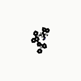 C=Nc1c(/C=C\C)nc(-n2c3ccccc3c3c4ccccc4c(-c4ccc5c(c4)c4ccccc4n5-c4ccccc4)cc32)nc1-c1cccc2ccccc12